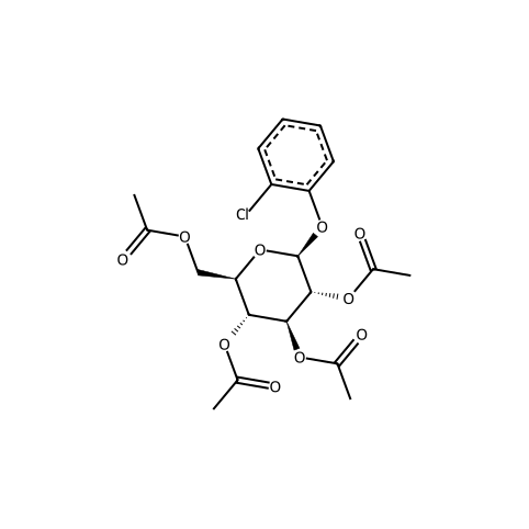 CC(=O)OC[C@H]1O[C@@H](Oc2ccccc2Cl)[C@H](OC(C)=O)[C@@H](OC(C)=O)[C@@H]1OC(C)=O